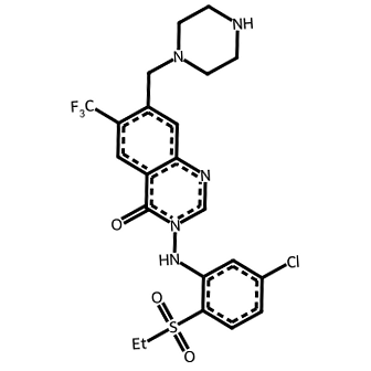 CCS(=O)(=O)c1ccc(Cl)cc1Nn1cnc2cc(CN3CCNCC3)c(C(F)(F)F)cc2c1=O